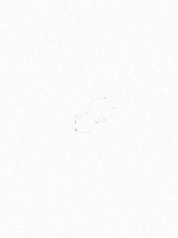 O=C1CC2=CC=[C]CC2=N1